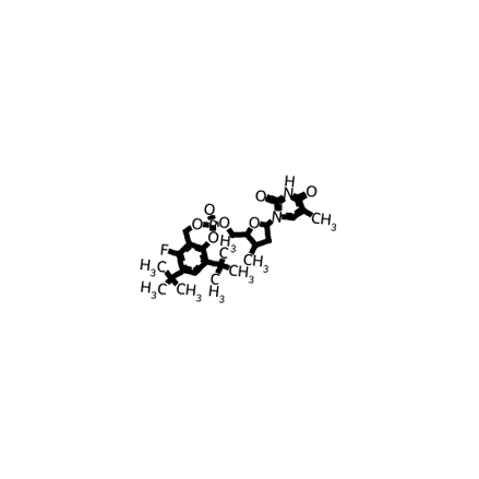 Cc1cn(C2CC(C)C(COP3(=O)OCc4c(F)c(C(C)(C)C)cc(C(C)(C)C)c4O3)O2)c(=O)[nH]c1=O